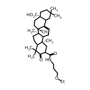 CCOCCCNC(=O)C1C[C@@]2(C)C(CC[C@]3(C)C2CC=C2C4CC(C)(C)CC[C@]4(C(=O)O)CC[C@]23C)C(C)(C)C1=O